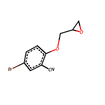 N#Cc1cc(Br)ccc1OCC1CO1